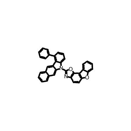 c1ccc(-c2cccc3c2c2cc4ccccc4cc2n3-c2nc3ccc4oc5ccccc5c4c3o2)cc1